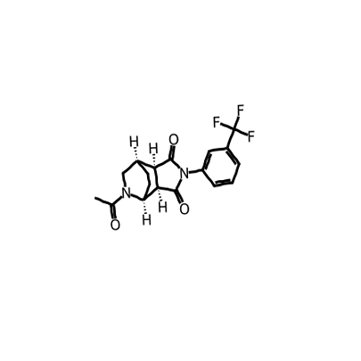 CC(=O)N1C[C@@H]2CC[C@H]1[C@@H]1C(=O)N(c3cccc(C(F)(F)F)c3)C(=O)[C@H]21